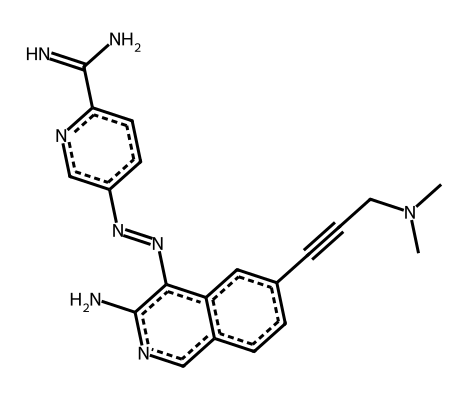 CN(C)CC#Cc1ccc2cnc(N)c(/N=N/c3ccc(C(=N)N)nc3)c2c1